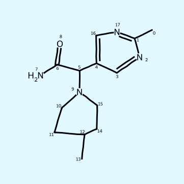 Cc1ncc(C(C(N)=O)N2CCC(C)CC2)cn1